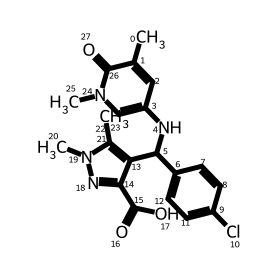 Cc1cc(NC(c2ccc(Cl)cc2)c2c(C(=O)O)nn(C)c2C)cn(C)c1=O